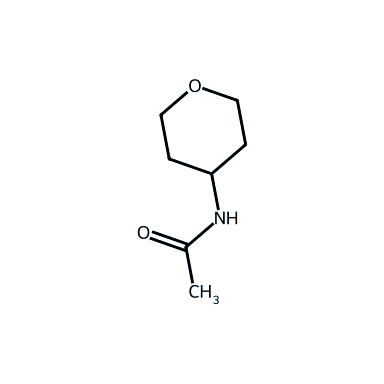 CC(=O)NC1CCOCC1